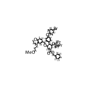 COCCCN1CCOc2ccc(COC3CN(C(=O)OCc4ccccc4)CC(O[Si](C(C)C)(C(C)C)C(C)C)C3c3ccc(Oc4ncc(Br)cn4)cc3)cc21